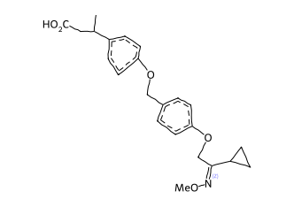 CO/N=C(\COc1ccc(COc2ccc(C(C)CC(=O)O)cc2)cc1)C1CC1